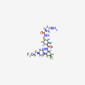 N[C@H]1CCN(C(=O)NCc2ccc(C(=O)Nc3ccc(Cl)cc3N3CCN(CCC(F)(F)F)CC3)c(F)c2)C1